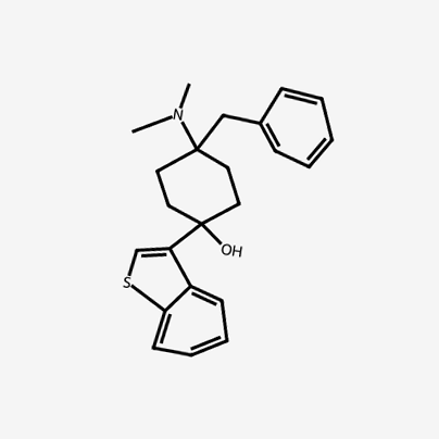 CN(C)C1(Cc2ccccc2)CCC(O)(c2csc3ccccc23)CC1